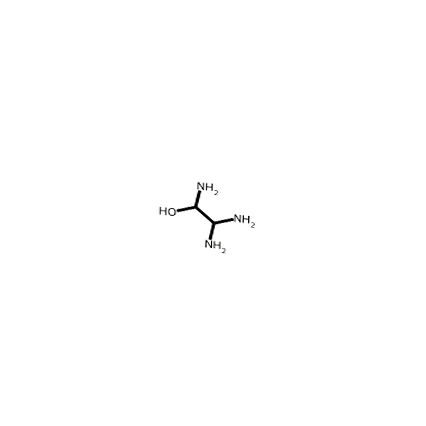 NC(N)C(N)O